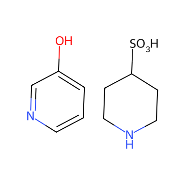 O=S(=O)(O)C1CCNCC1.Oc1cccnc1